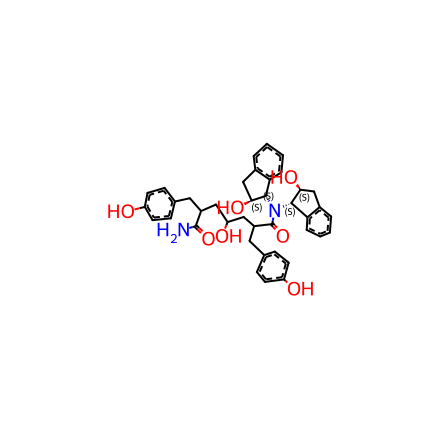 NC(=O)C(Cc1ccc(O)cc1)CC(O)CC(Cc1ccc(O)cc1)C(=O)N([C@H]1c2ccccc2C[C@@H]1O)[C@H]1c2ccccc2C[C@@H]1O